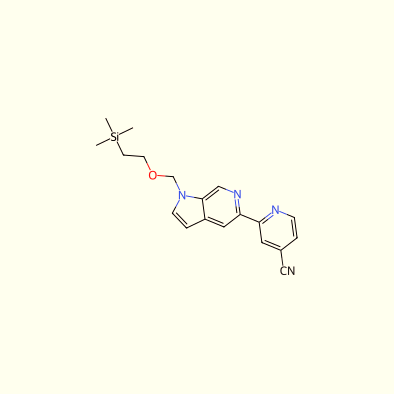 C[Si](C)(C)CCOCn1ccc2cc(-c3cc(C#N)ccn3)ncc21